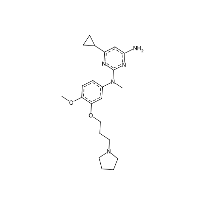 COc1ccc(N(C)c2nc(N)cc(C3CC3)n2)cc1OCCCN1CCCC1